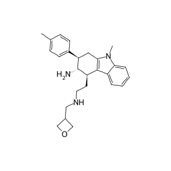 Cc1ccc([C@H]2Cc3c(c4ccccc4n3C)[C@@H](CCNCC3COC3)[C@@H]2N)cc1